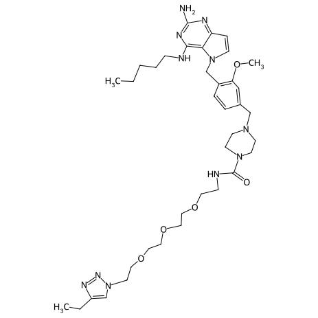 CCCCCNc1nc(N)nc2ccn(Cc3ccc(CN4CCN(C(=O)NCCOCCOCCOCCn5cc(CC)nn5)CC4)cc3OC)c12